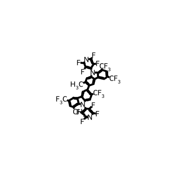 Cc1cc2c(cc1-c1cc3c4cc(C(F)(F)F)cc(C)c4n(-c4c(F)c(F)nc(F)c4F)c3cc1C(F)(F)F)c1cc(C(F)(F)F)cc(C(F)(F)F)c1n2-c1c(F)c(F)nc(F)c1F